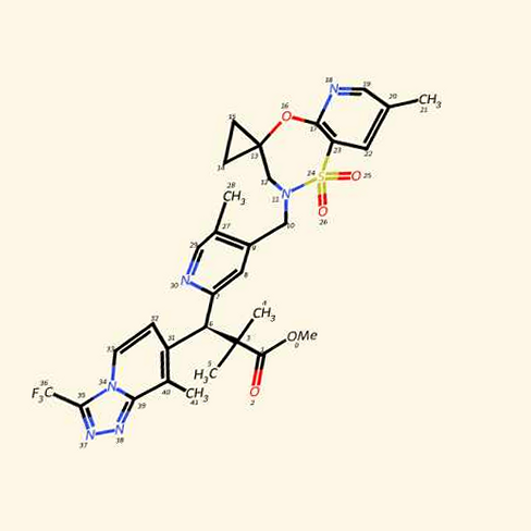 COC(=O)C(C)(C)[C@H](c1cc(CN2CC3(CC3)Oc3ncc(C)cc3S2(=O)=O)c(C)cn1)c1ccn2c(C(F)(F)F)nnc2c1C